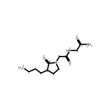 CCCCC1CCN(CC(=O)NCC(N)=O)C1=O